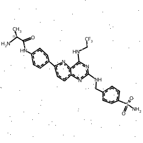 C[C@H](N)C(=O)Nc1ccc(-c2ccc3nc(NCc4ccc(S(N)(=O)=O)cc4)nc(NCC(F)(F)F)c3n2)cc1